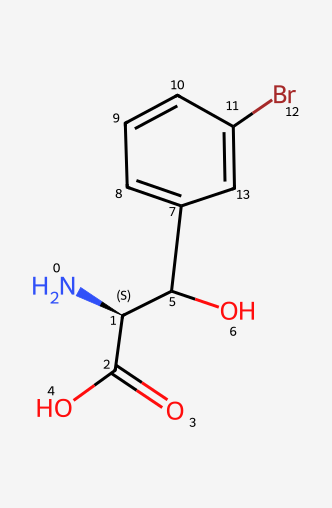 N[C@H](C(=O)O)C(O)c1cccc(Br)c1